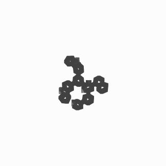 c1cncc(-c2cccc(-c3cc(-c4cccc5ccccc45)nc(-c4cc(-c5ccc6sc7ccccc7c6c5)cc(-c5ccc6sc7ccccc7c6c5)c4)n3)c2)c1